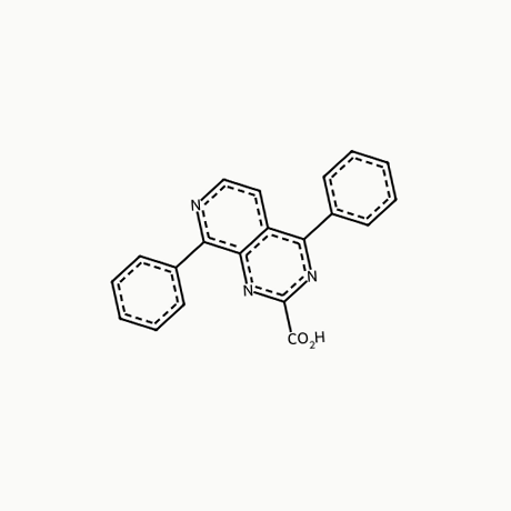 O=C(O)c1nc(-c2ccccc2)c2ccnc(-c3ccccc3)c2n1